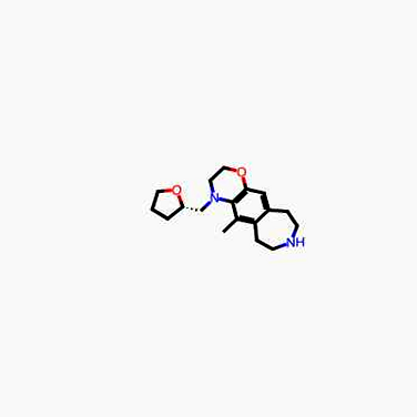 Cc1c2c(cc3c1N(C[C@@H]1CCCO1)CCO3)CCNCC2